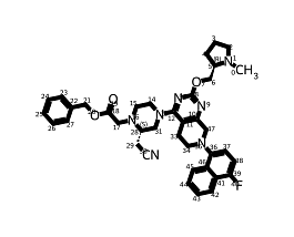 CN1CCC[C@@H]1COc1nc2c(c(N3CCN(CC(=O)OCc4ccccc4)[C@@H](CC#N)C3)n1)CCN(c1ccc(F)c3ccccc13)C2